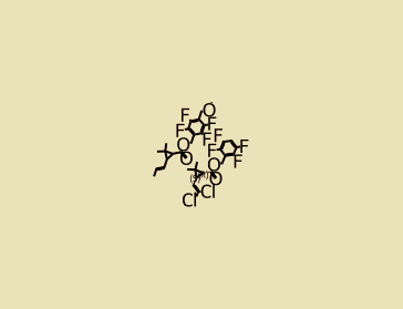 CC1(C)[C@H](C=C(Cl)Cl)[C@H]1C(=O)OCc1c(F)c(F)cc(F)c1F.CC=CC1C(C(=O)OCc2c(F)c(F)c(COC)c(F)c2F)C1(C)C